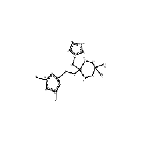 CCC1(CC)COC(CCc2cc(C)cc(C)c2)(Cn2ccnc2)OC1